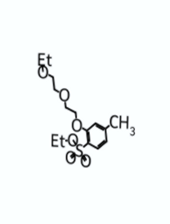 CCOCCOCCOc1cc(C)ccc1S(=O)(=O)OCC